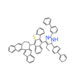 CCC1=C(c2c3ccccc3c(C3CCc4cc5ccccc5cc4-c4cc5ccccc5cc43)c3sc4ccccc4c23)N=C(c2cccc(-c3ccccc3)c2)NC1c1ccc(C2=CCCC=C2)cc1